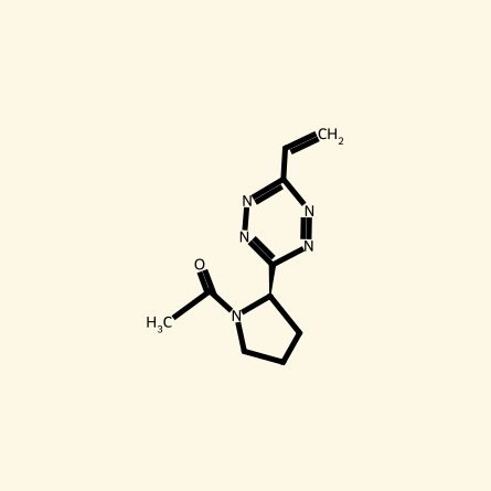 C=Cc1nnc([C@H]2CCCN2C(C)=O)nn1